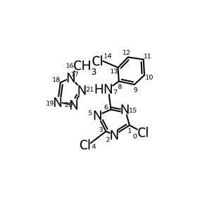 Clc1nc(Cl)nc(Nc2ccccc2Cl)n1.Cn1cnnn1